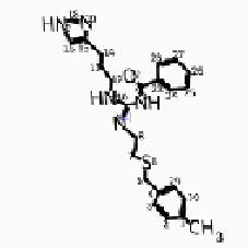 Cc1ccc(CSCC/N=C(/NCCCc2c[nH]cn2)NC(=O)c2ccccc2)cc1